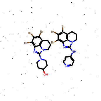 Brc1c(Br)c2c3c(nc(Nc4ccncc4)n3CCC2)c1Br.OC1CCN(c2nc3c(Br)c(Br)c(Br)c4c3n2CCC4)CC1